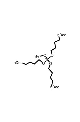 CCCCCCCCCCCCCC[O][Ti]([O]CCCCCCCCCCCCCC)([O]CCCCCCCCCCCCCC)[O]C(C)C